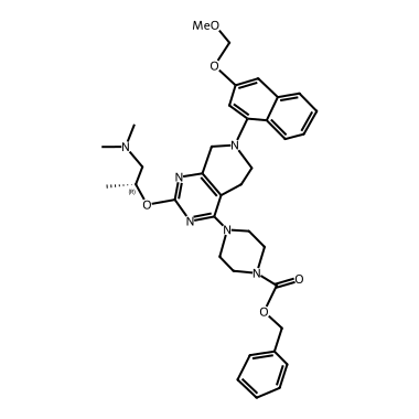 COCOc1cc(N2CCc3c(nc(O[C@H](C)CN(C)C)nc3N3CCN(C(=O)OCc4ccccc4)CC3)C2)c2ccccc2c1